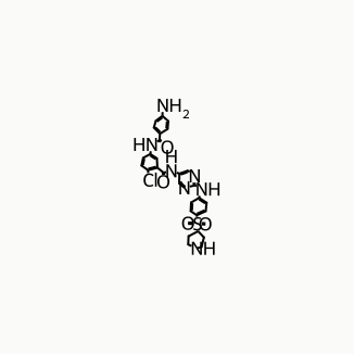 Nc1ccc(C(=O)Nc2ccc(Cl)c(C(=O)Nc3cnc(Nc4ccc(S(=O)(=O)C5CCNCC5)cc4)nc3)c2)cc1